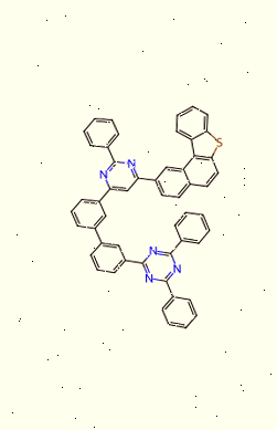 c1ccc(-c2nc(-c3cccc(-c4cccc(-c5nc(-c6ccccc6)nc(-c6ccccc6)n5)c4)c3)cc(-c3ccc4ccc5sc6ccccc6c5c4c3)n2)cc1